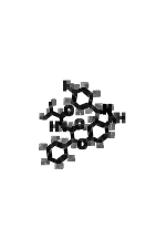 CC(C)C(=O)NC(=O)C(Oc1ccc2[nH]nc(-c3ccc(F)cc3)c2c1)c1ccccc1